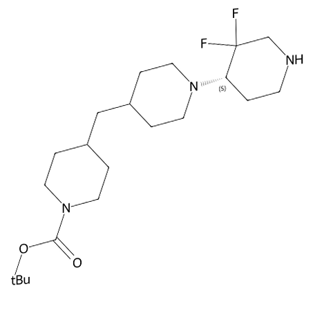 CC(C)(C)OC(=O)N1CCC(CC2CCN([C@H]3CCNCC3(F)F)CC2)CC1